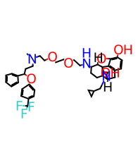 CN(CCOCCOCCNC1CC[C@@]2(O)[C@H]3Cc4ccc(O)c5c4[C@@]2(CCN3CC2CC2)[C@H]1O5)CCC(Oc1ccc(C(F)(F)F)cc1)c1ccccc1